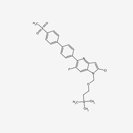 C[Si](C)(C)CCOCn1c(Cl)cc2nc(-c3ccc(-c4ccc(S(C)(=O)=O)cc4)cc3)c(F)cc21